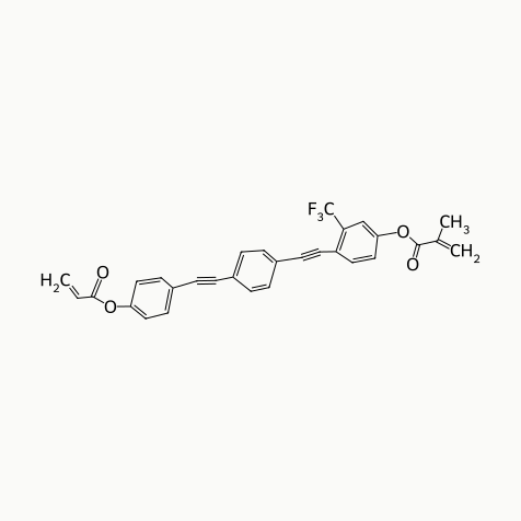 C=CC(=O)Oc1ccc(C#Cc2ccc(C#Cc3ccc(OC(=O)C(=C)C)cc3C(F)(F)F)cc2)cc1